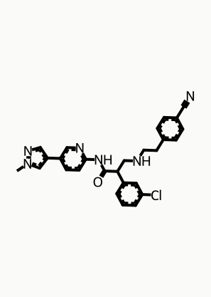 Cn1cc(-c2ccc(NC(=O)C(CNCCc3ccc(C#N)cc3)c3cccc(Cl)c3)nc2)cn1